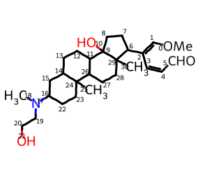 CO/C=C(\C=C/C=O)C1CCC2(O)C3CCC4CC(N(C)CCO)CCC4(C)C3CCC12C